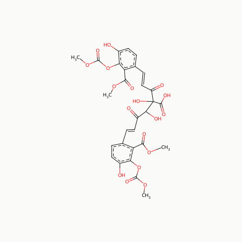 COC(=O)Oc1c(O)ccc(C=CC(=O)C(O)C(O)(C(=O)O)C(=O)C=Cc2ccc(O)c(OC(=O)OC)c2C(=O)OC)c1C(=O)OC